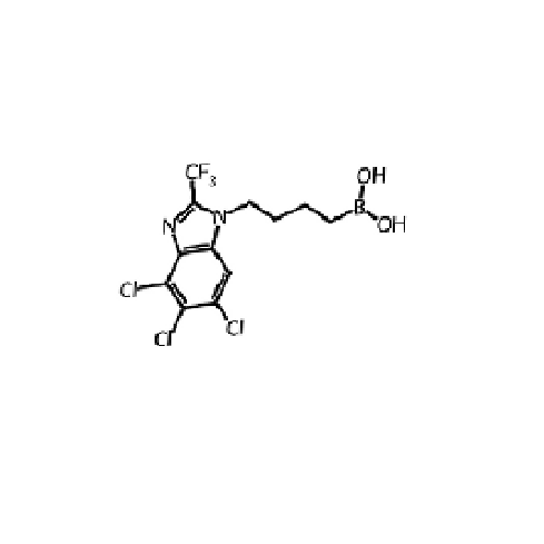 OB(O)CCCCn1c(C(F)(F)F)nc2c(Cl)c(Cl)c(Cl)cc21